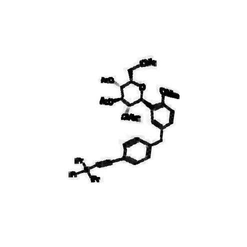 COc1ccc(Cc2ccc(C#C[Si](C(C)C)(C(C)C)C(C)C)cc2)cc1[C@@H]1O[C@H](COC(C)=O)[C@@H](OC(C)=O)[C@H](OC(C)=O)[C@H]1OC(C)=O